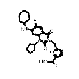 O=C(O)c1ccc(Cn2c(=O)c3cc(F)c(NC4CCCCC4)cc3n(C3CCCC3)c2=O)o1